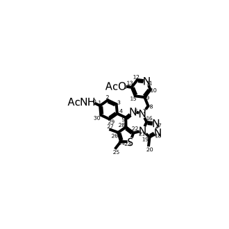 CC(=O)Nc1ccc(C2=NN(Cc3cncc(OC(C)=O)c3)c3nnc(C)n3-c3sc(C)c(C)c32)cc1